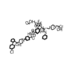 O=C(NS(=O)(=O)c1ccc(N[C@H](CCN2CCN(C[C@H](O)CF)CC2)CSc2ccccc2)c(S(=O)(=O)C(F)(F)F)c1)c1ccc(N2CCC([C@@H](O)c3ccccc3-c3ccc(Cl)cc3)CC2)cc1.O=CO